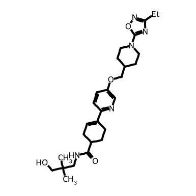 CCc1noc(N2CCC(COc3ccc(C4=CCC(C(=O)NCC(C)(C)CO)CC4)nc3)CC2)n1